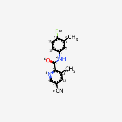 Cc1cc(NC(=O)c2ncc(C#N)cc2C)ccc1F